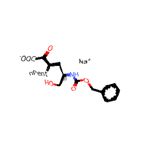 CCCCCC(C[C@H](CO)NC(=O)OCc1ccccc1)C(=O)C(=O)[O-].[Na+]